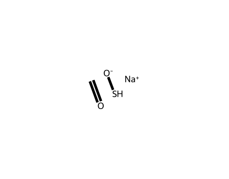 C=O.[Na+].[O-]S